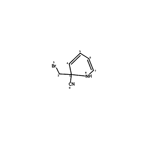 N#CC1(CBr)C=CC=CN1